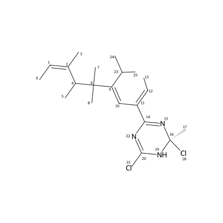 C/C=C(/C)C(C)C(C)(C)/C(=C/C(=C\C)C1=N[C@@](C)(Cl)NC(Cl)=N1)C(C)C